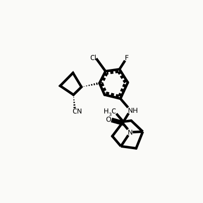 CC1CC2CC(C1)N2C(=O)Nc1cc(F)c(Cl)c([C@H]2CC[C@H]2C#N)c1